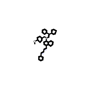 COc1ccc(CN(C=C(c2ccccc2)c2ccccc2)c2ccc(/C=C/C=C/c3ccccc3)c3ccccc23)cc1